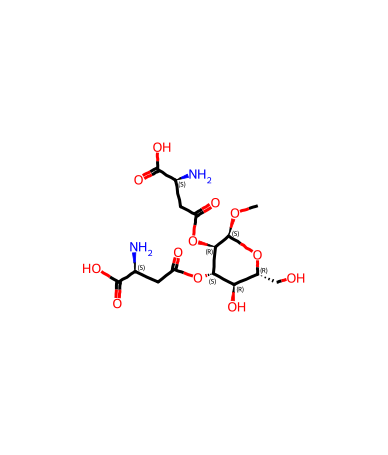 CO[C@H]1O[C@H](CO)[C@@H](O)[C@H](OC(=O)C[C@H](N)C(=O)O)[C@H]1OC(=O)C[C@H](N)C(=O)O